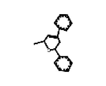 CC1C=C(c2ccccc2)CC(c2ccccc2)O1